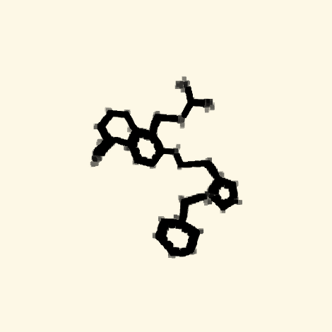 CC(C)OCc1c(OCCc2cncn2Cc2ccccc2)ccc2c1CCCC2=O